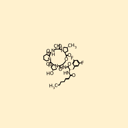 CCCC/C=C/C(=O)N[C@@H](Cc1cc(F)cc(F)c1)C(=O)N[C@H]1COC(=O)C2C[C@@H](C)CN2C(=O)[C@H](C)NC(=O)[C@@H]2CCCCN2C(=O)[C@@H]2C[C@@H](O)CN2C1=O